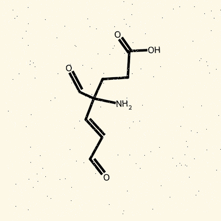 NC(C=O)(C=CC=O)CCC(=O)O